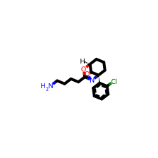 NCCCCC1=N[C@]2(c3ccccc3Cl)CCC[C@H](O1)C2=O